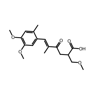 COCC(CC(=O)/C(C)=C/c1cc(OC)c(OC)cc1C)C(=O)O